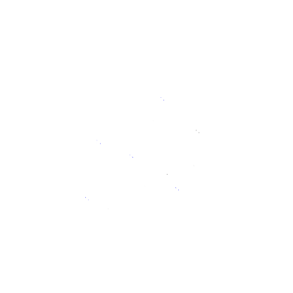 CC(C)(C(=C(C#N)C(=O)N1CCCCC1)n1cnc2cnccc21)N1CCOCC1